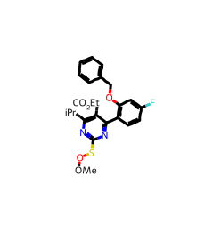 CCOC(=O)c1c(-c2ccc(F)cc2OCc2ccccc2)nc(SOOC)nc1C(C)C